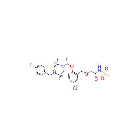 CC(Oc1ccc(Cl)cc1COCC(=O)NS(C)(=O)=O)N1C[C@H](C)N(Cc2ccc(F)cc2)C[C@H]1C